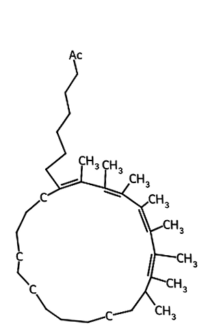 CC(=O)CCCCCCC1=C(C)C(C)=C(C)C(C)=C(C)C(C)=C(C)C(C)CCCCCCCCCCC1